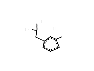 Cc1cccc(C[C@@](C)(O)C(=O)O)c1